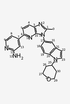 Cc1nc2ccc(-c3ccnc(N)c3)nc2n1-c1ccc2c(ccn2C2CCOCC2)c1